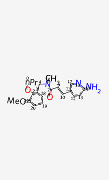 CCCOc1c(CN(C)C(=O)/C=C/c2ccc(N)nc2)cccc1OC